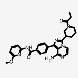 CCC(=O)N1CCCC(c2nc(-c3ccc(C(=O)Nc4cccc(OC)n4)cc3)c3c(N)nccn23)C1